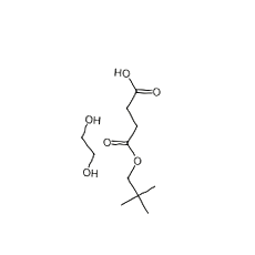 CC(C)(C)COC(=O)CCC(=O)O.OCCO